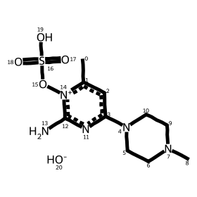 Cc1cc(N2CCN(C)CC2)nc(N)[n+]1OS(=O)(=O)O.[OH-]